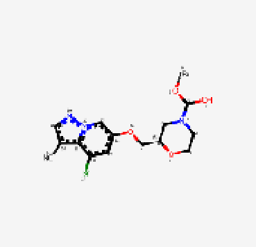 CC(C)(C)OC(O)N1CCO[C@@H](COc2cc(Br)c3c(C#N)cnn3c2)C1